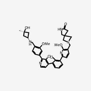 COc1cc(-c2nccc(-c3cccc(-c4ccc(CN5CC6(CNC(=O)C6)C5)c(OC)n4)c3Cl)c2Cl)ccc1CN[C@H]1C[C@](C)(O)C1